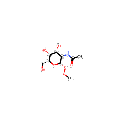 COO[C@@H]1O[C@H](CO)[C@H](O)[C@H](O)[C@H]1NC(C)=O